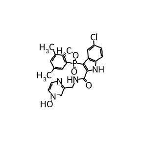 COP(=O)(c1cc(C)cc(C)c1)c1c(C(=O)NCc2c[n+](O)ccn2)[nH]c2ccc(Cl)cc12